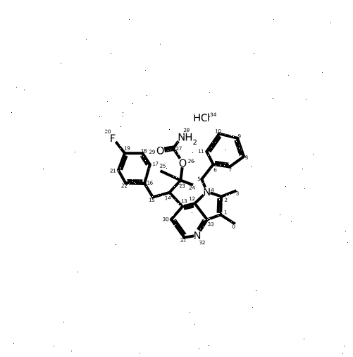 Cc1c(C)n(Cc2ccccc2)c2c(C(Cc3ccc(F)cc3)C(C)(C)OC(N)=O)ccnc12.Cl